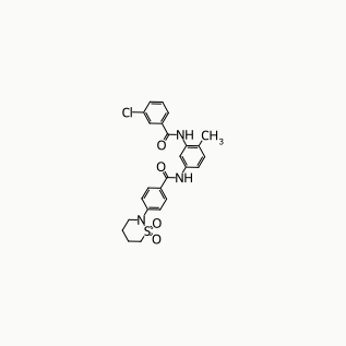 Cc1ccc(NC(=O)c2ccc(N3CCCCS3(=O)=O)cc2)cc1NC(=O)c1cccc(Cl)c1